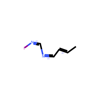 C/C=C/C=N\C=N/I